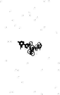 Cc1ccc(-c2ccn(CC[C@](C)(C(=O)NOC3CCCCO3)S(C)(=O)=O)c(=O)c2)c(F)c1